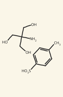 Cc1ccc(S(=O)(=O)O)cc1.NC(CO)(CO)CO